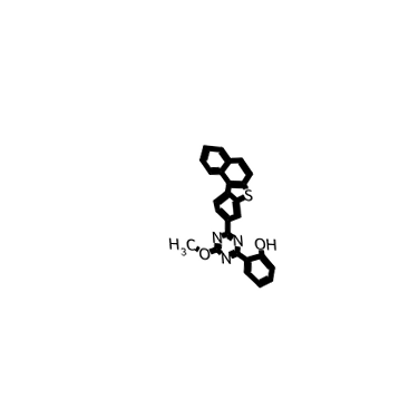 COc1nc(-c2ccc3c(c2)sc2ccc4ccccc4c23)nc(-c2ccccc2O)n1